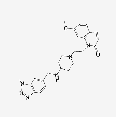 COc1ccc2ccc(=O)n(CCN3CCC(NCc4ccc5nnn(C)c5c4)CC3)c2c1